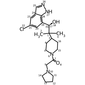 CC(C)(C1CCN(C(=O)CN2CCCC2)CC1)[C@H](O)c1cc(Cl)cc2cn[nH]c12